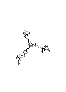 COc1ccc(C=Cc2cc(C=Cc3ccc(OC)cc3)nc(OCCCCNC(=N)N)n2)cc1.O=C(O)C(F)(F)F